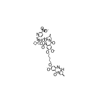 C=C1C[C@H]2C=Nc3cc(OCCCCCOc4cc5c(cc4OC)C(=O)N4CC(=C)C[C@H]4[C@H](O)N5C(=O)OCC4(SSc5ccc([N+](=O)[O-])cn5)CCC4)c(OC)cc3C(=O)N2C1